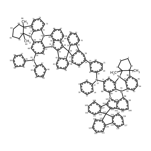 CC12CCCCC1(C)N1c3cc(N(c4ccccc4)c4cccc(-c5ccc6c(c5)-c5ccccc5C65c6ccccc6-c6c5c5cccc7c5n6-c5cc(N(c6ccccc6)c6ccccc6)cc6c5B7c5cccc7c5N6C5(C)CCCCC75C)c4)cc4c3B(c3cccc2c31)c1cccc2c3c(n-4c12)-c1ccccc1C31c2ccccc2-c2ccccc21